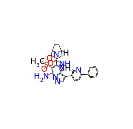 CNC(=O)N1C2CC[C@@H]1CC(c1nc3c(-c4ccc(-c5ccccc5)nc4)cnn3c(N)c1S(C)(=O)=O)C2